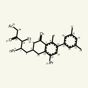 CCCC(CC1CC(=O)c2c(C)c(-c3cc(C)cc(C)c3)cc(C(C)C)c2C1)C(CC)C(=O)CC(C)=O